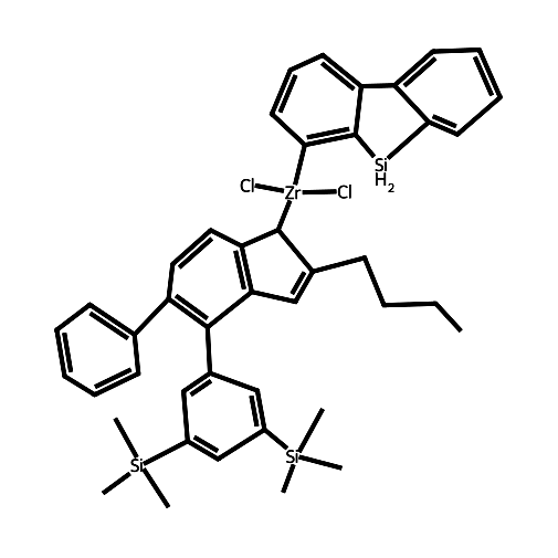 CCCCC1=Cc2c(ccc(-c3ccccc3)c2-c2cc([Si](C)(C)C)cc([Si](C)(C)C)c2)[CH]1[Zr]([Cl])([Cl])[c]1cccc2c1[SiH2]c1ccccc1-2